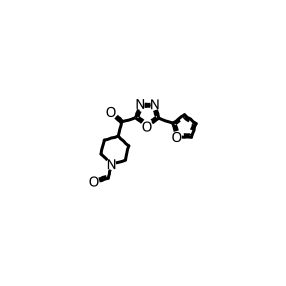 O=CN1CCC(C(=O)c2nnc(-c3ccco3)o2)CC1